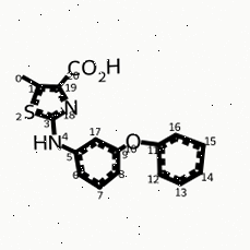 Cc1sc(Nc2cccc(Oc3ccccc3)c2)nc1C(=O)O